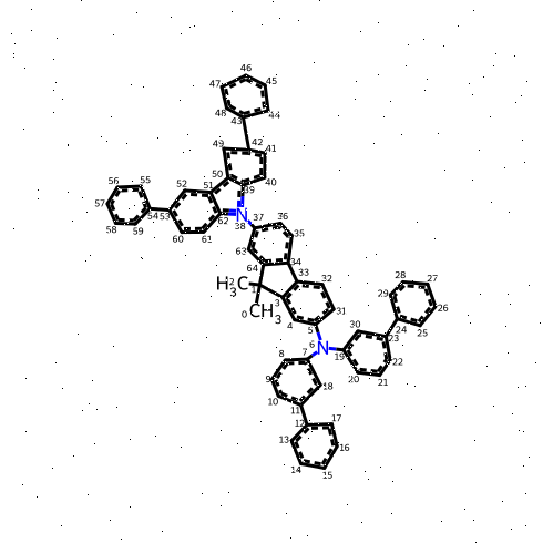 CC1(C)c2cc(N(c3cccc(-c4ccccc4)c3)c3cccc(-c4ccccc4)c3)ccc2-c2ccc(-n3c4ccc(-c5ccccc5)cc4c4cc(-c5ccccc5)ccc43)cc21